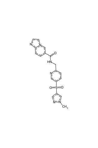 Cn1cc(S(=O)(=O)c2ccc(CNC(=O)c3ccc4nccn4c3)nc2)cn1